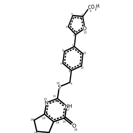 O=C(O)c1ccc(-c2ccc(CSc3nc4c(c(=O)[nH]3)CCC4)cc2)o1